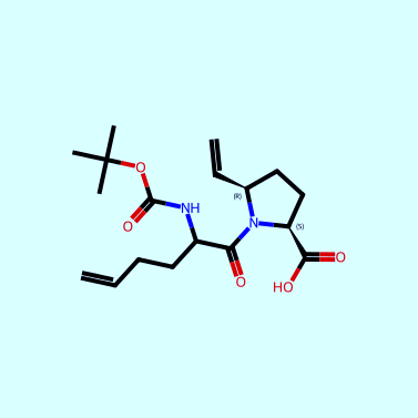 C=CCCC(NC(=O)OC(C)(C)C)C(=O)N1[C@@H](C=C)CC[C@H]1C(=O)O